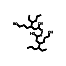 CCCC(CC)C(CCCO)CC(O)SSC(O)CC(CCCO)C(CC)CCC